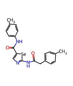 Cc1ccc(CC(=O)Nc2ncc(C(=O)Nc3ccc(C)cc3)[se]2)cc1